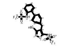 CCCCc1noc(NS(=O)(=O)C(F)(F)F)c1Cc1ccc(-c2ccccc2NS(=O)(=O)C(F)(F)F)cc1